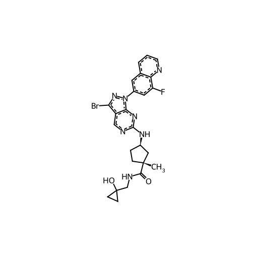 C[C@@]1(C(=O)NCC2(O)CC2)CC[C@@H](Nc2ncc3c(Br)nn(-c4cc(F)c5ncccc5c4)c3n2)C1